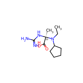 CCN(C1CCCC1)[C@](C)(NC(=N)N)C(=O)O